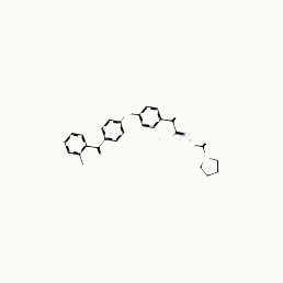 Cc1ccccc1C(=O)c1ccc(Sc2ccc(C(=O)/C(C#N)=N/OC(=O)N3CCCC3)cc2)cc1